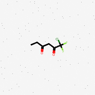 CCC(=O)CC(=O)C(F)(F)Cl